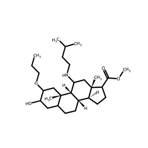 CCCOC1C[C@@]2(C)C(CC[C@@H]3[C@H]2C(NCCC(C)C)C[C@]2(C)C(C(=O)OC)CC[C@@H]32)CC1O